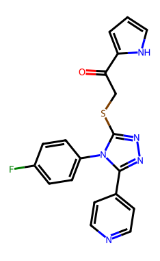 O=C(CSc1nnc(-c2ccncc2)n1-c1ccc(F)cc1)c1ccc[nH]1